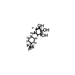 C[C@@H]1[C@@H](O)[C@H](O)[C@@H](O)CN1C[C@H]1CC[C@H](C(F)(F)F)CC1